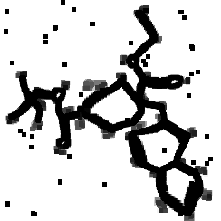 CCOC(=O)C1(Cc2ccc3ccccc3c2)CCN(C(=O)OC(C)(C)C)CC1